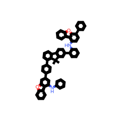 CC1(C)c2cc(-c3ccccc3Nc3ccc(-c4ccccc4)c4oc5ccccc5c34)ccc2-c2cccc(-c3ccc(-c4cc(Nc5ccccc5)c5c(c4)oc4ccccc45)cc3)c21